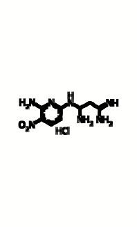 Cl.N=C(N)CC(N)Nc1ccc([N+](=O)[O-])c(N)n1